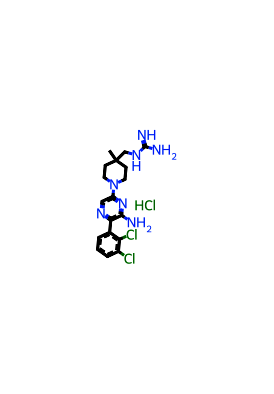 CC1(CNC(=N)N)CCN(c2cnc(-c3cccc(Cl)c3Cl)c(N)n2)CC1.Cl